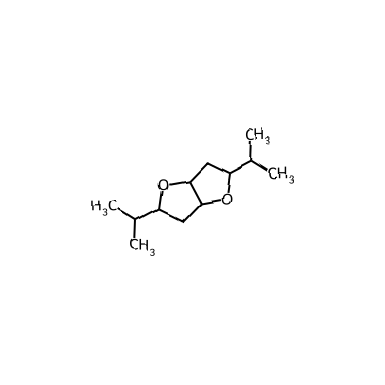 CC(C)C1CC2OC(C(C)C)CC2O1